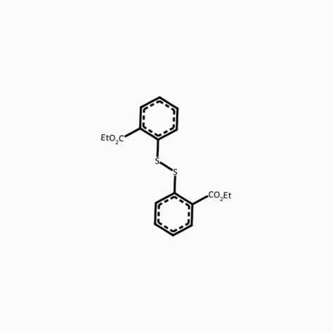 CCOC(=O)c1ccccc1SSc1ccccc1C(=O)OCC